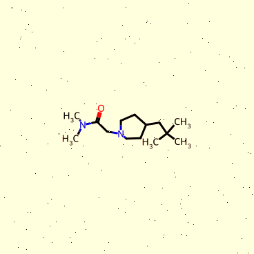 CN(C)C(=O)CN1CCC(CC(C)(C)C)CC1